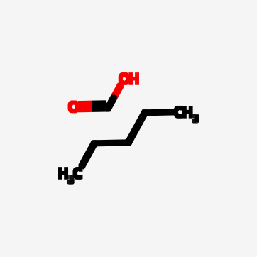 CCCCC.O=CO